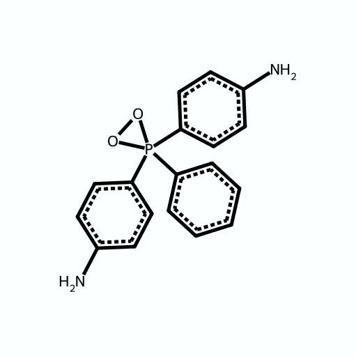 Nc1ccc(P2(c3ccccc3)(c3ccc(N)cc3)OO2)cc1